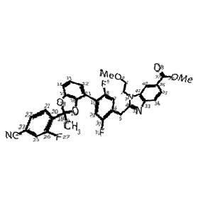 COCCn1c(Cc2cc(F)c(-c3cccc4c3OC(C)(c3ccc(C#N)cc3F)O4)cc2F)nc2ccc(C(=O)OC)cc21